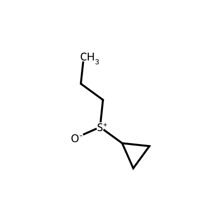 CCC[S+]([O-])C1CC1